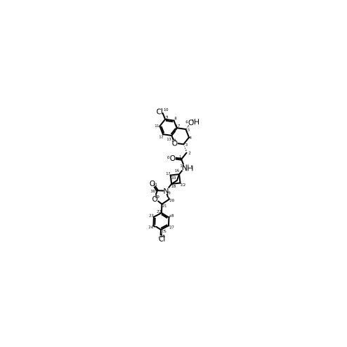 O=C(C[C@H]1C[C@@H](O)c2cc(Cl)ccc2O1)NC12CC(N3CC(c4ccc(Cl)cc4)OC3=O)(C1)C2